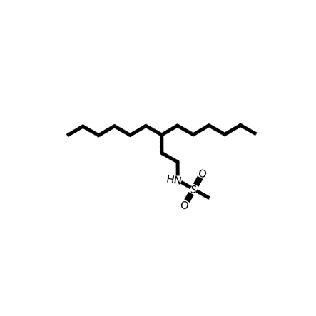 CCCCCCC(CCCCCC)CCNS(C)(=O)=O